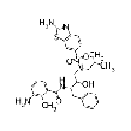 Cc1c(N)cccc1C(=O)NC(Cc1ccccc1)C(O)CN(CC(C)C)S(=O)(=O)c1ccc2nc(N)sc2c1